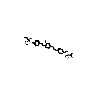 C=CC(=O)OCc1ccc(/C=C/c2ccc(/C=C/c3ccc(OC(=O)C(=C)C)cc3)cc2F)cc1